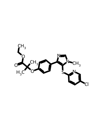 CCOC(=O)C(C)(C)Oc1ccc(-c2ncn(C)c2Sc2ccc(Cl)cn2)cc1